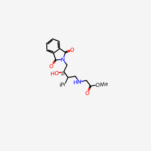 COC(=O)CNCC(C(C)C)[C@@H](O)CN1C(=O)c2ccccc2C1=O